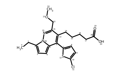 CCc1ccc2c(-c3ccc(Cl)s3)c(CCCCC(=O)O)c(COC)nn12